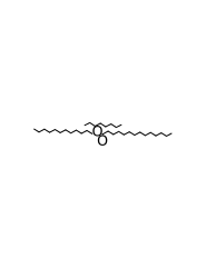 CCCCCCCC.CCCCCCCCCCCCCC(=O)OCCCCCCCCCCCC